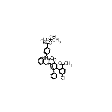 CC(=O)c1ccc(Cl)cc1-c1cc(=O)n([C@@H](Cc2ccccc2)C(=O)Nc2ccc(C(=O)OC(C)(C)C)cc2)nc1-c1ccccc1